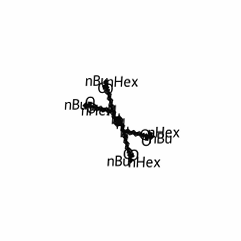 CCCCCCC(CCCC)C(=O)OCCCCCCN(CCCCCCOC(=O)C(CCCC)CCCCCC)CCN1CCN(CCN(CCCCCCOC(=O)C(CCCC)CCCCCC)CCCCCCOC(=O)C(CCCC)CCCCCC)CC1